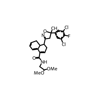 COC(CNC(=O)C1=CCC(C2=NOC(C)(c3cc(Cl)c(F)c(Cl)c3)C2)C2CC=CC=C12)OC